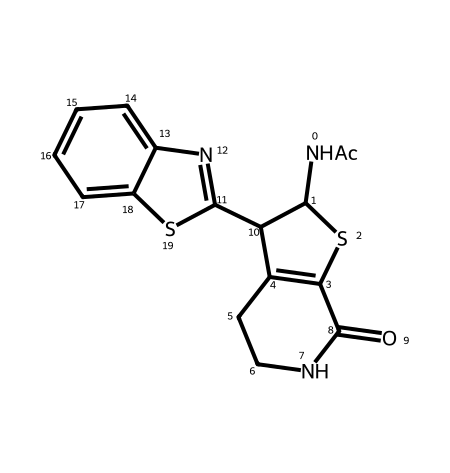 CC(=O)NC1SC2=C(CCNC2=O)C1c1nc2ccccc2s1